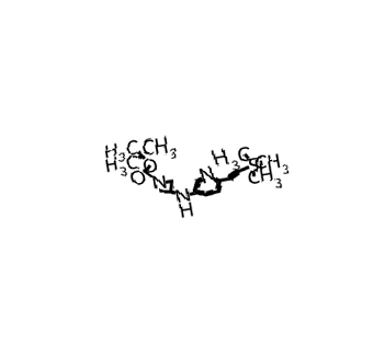 CC(C)(C)OC(=O)N1CC(Nc2ccc(C#C[Si](C)(C)C)nc2)C1